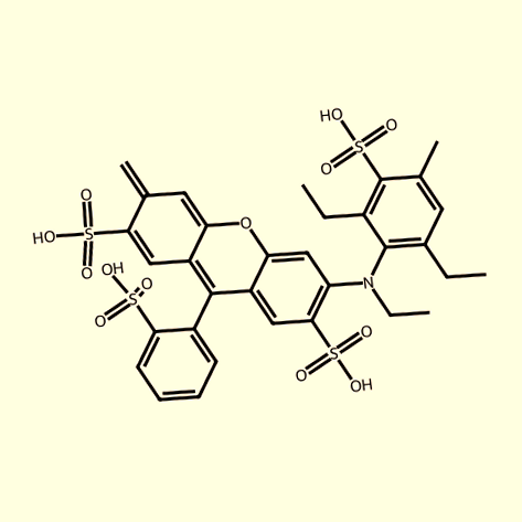 C=c1cc2c(cc1S(=O)(=O)O)=C(c1ccccc1S(=O)(=O)O)c1cc(S(=O)(=O)O)c(N(CC)c3c(CC)cc(C)c(S(=O)(=O)O)c3CC)cc1O2